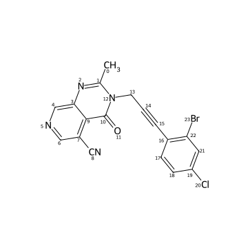 Cc1nc2cncc(C#N)c2c(=O)n1CC#Cc1ccc(Cl)cc1Br